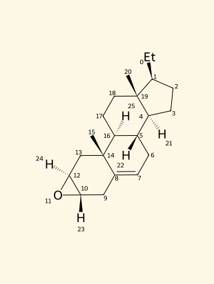 CC[C@H]1CC[C@H]2[C@@H]3CC=C4C[C@@H]5O[C@H]5C[C@]4(C)[C@H]3CC[C@]12C